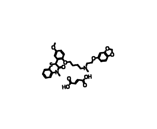 COc1ccc(OCCCCN(C)CCOc2ccc3c(c2)OCO3)c(C2Sc3ccccc3N(C)C2=O)c1.O=C(O)C=CC(=O)O